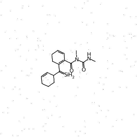 CNC(=O)N(I)C(=O)C1=C(C(=[SiH2])C2C=CCCC2)CCC=C1